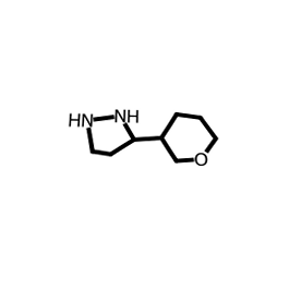 C1COCC(C2CCNN2)C1